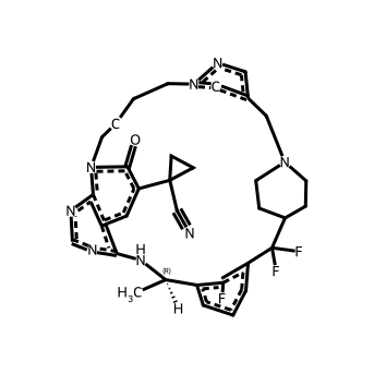 C[C@H]1Nc2ncnc3c2cc(C2(C#N)CC2)c(=O)n3CCCCn2cc(cn2)CN2CCC(CC2)C(F)(F)c2cccc1c2F